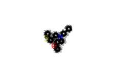 c1ccc(-c2ccc(N(c3cccc(-c4cccc5sc6ccccc6c45)c3)c3cccc4c3ccc3oc5ccccc5c34)cc2)cc1